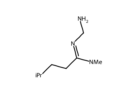 CN/C(CCC(C)C)=N\CN